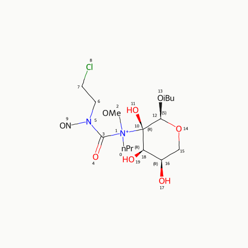 CCC[N+](OC)(C(=O)N(CCCl)N=O)[C@]1(O)[C@@H](OCC(C)C)OC[C@@H](O)[C@H]1O